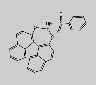 O=S(=O)(Np1oc2ccc3ccccc3c2c2c(ccc3ccccc32)o1)c1ccccc1